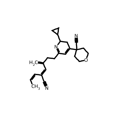 C=C(/C=C(C#N)\C=C/C)CCC1=NC(C2CC2)CC(C2(C#N)CCOCC2)=C1